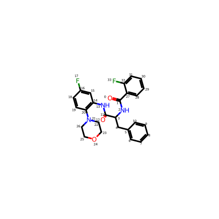 O=C(NC(Cc1ccccc1)C(=O)Nc1cc(F)ccc1N1CCOCC1)c1ccccc1F